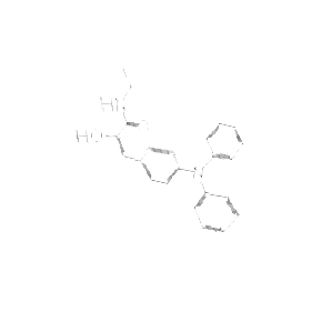 CCNC(=O)/C(O)=C\c1ccc(N(c2ccccc2)c2ccccc2)cc1